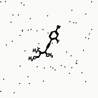 C=C/C(C)=C(\C)C#Cc1ccc(Br)cc1F